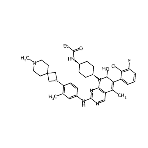 CCC(=O)N[C@H]1CC[C@@H](N2c3nc(Nc4ccc(N5CC6(CCN(C)CC6)C5)c(C)c4)ncc3C(C)=C(c3cccc(F)c3Cl)C2O)CC1